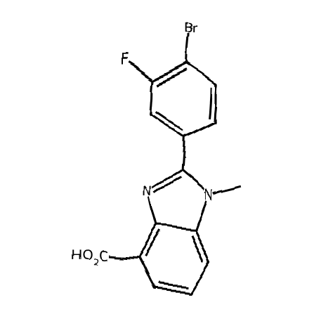 Cn1c(-c2ccc(Br)c(F)c2)nc2c(C(=O)O)cccc21